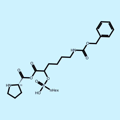 CCCCCCP(=O)(O)OC(CCCCNC(=O)OCc1ccccc1)C(=O)OC(=O)[C@@H]1CCCN1